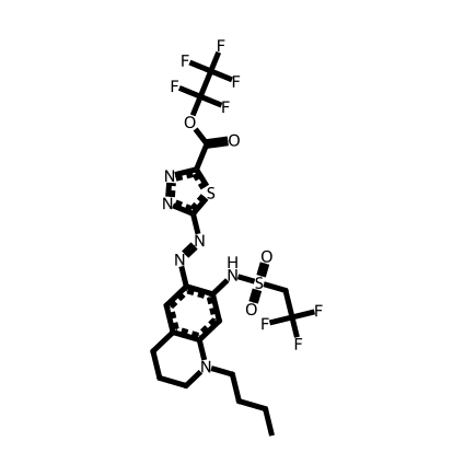 CCCCN1CCCc2cc(N=Nc3nnc(C(=O)OC(F)(F)C(F)(F)F)s3)c(NS(=O)(=O)CC(F)(F)F)cc21